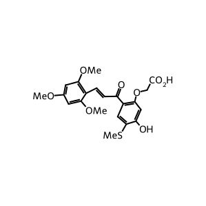 COc1cc(OC)c(C=CC(=O)c2cc(SC)c(O)cc2OCC(=O)O)c(OC)c1